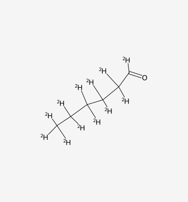 [2H]C(=O)C([2H])([2H])C([2H])([2H])C([2H])([2H])C([2H])([2H])C([2H])([2H])[2H]